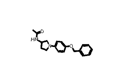 CC(=O)NC1CCN(c2ccc(OCc3ccccc3)cc2)C1